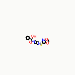 O=C([C@H](CO)c1ccccc1)N1CC2=C(CN(Sc3cnc4c(c3)OCCO4)C2)C1